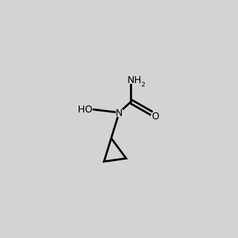 NC(=O)N(O)C1CC1